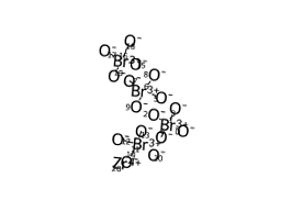 [O-][Br+3]([O-])([O-])[O-].[O-][Br+3]([O-])([O-])[O-].[O-][Br+3]([O-])([O-])[O-].[O-][Br+3]([O-])([O-])[O-].[Zr+4]